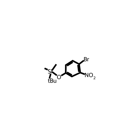 CC(C)(C)[Si](C)(C)Oc1ccc(Br)c([N+](=O)[O-])c1